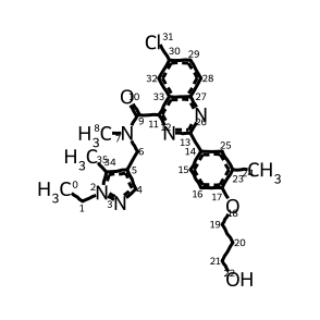 CCn1ncc(CN(C)C(=O)c2nc(-c3ccc(OCCCO)c(C)c3)nc3ccc(Cl)cc23)c1C